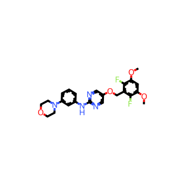 COc1cc(OC)c(F)c(COc2cnc(Nc3cccc(N4CCOCC4)c3)nc2)c1F